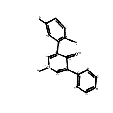 Cc1ccc(C)c(-c2cn(C)cc(-c3ccccc3)c2=O)c1